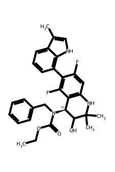 CCOC(=O)N(Cc1ccccc1)[C@H]1c2c(cc(F)c(-c3cccc4c(C)c[nH]c34)c2F)NC(C)(C)C1O